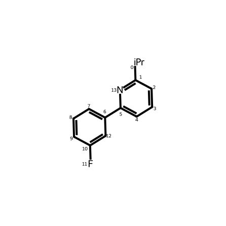 CC(C)c1cccc(-c2cccc(F)c2)n1